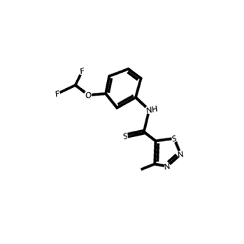 Cc1nnsc1C(=S)Nc1cccc(OC(F)F)c1